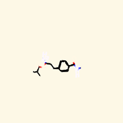 CNC(=O)c1ccc(CCC(N)OC(=O)C(C)C)cc1